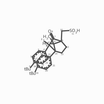 CC(C)(C)c1ccc(C2(I)C(=O)C3(CS(=O)(=O)O)CCC2(c2ccc(C(C)(C)C)cc2)C3(C)C)cc1